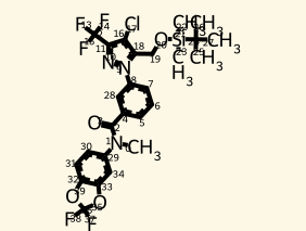 CN(C(=O)c1cccc(-n2nc(C(F)(F)F)c(Cl)c2CO[Si](C)(C)C(C)(C)C)c1)c1ccc2c(c1)OC(F)(F)O2